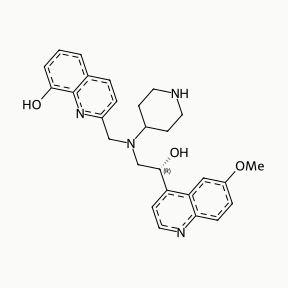 COc1ccc2nccc([C@@H](O)CN(Cc3ccc4cccc(O)c4n3)C3CCNCC3)c2c1